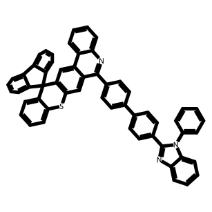 c1ccc(-n2c(-c3ccc(-c4ccc(-c5nc6ccccc6c6cc7c(cc56)Sc5ccccc5C75c6ccccc6-c6ccccc65)cc4)cc3)nc3ccccc32)cc1